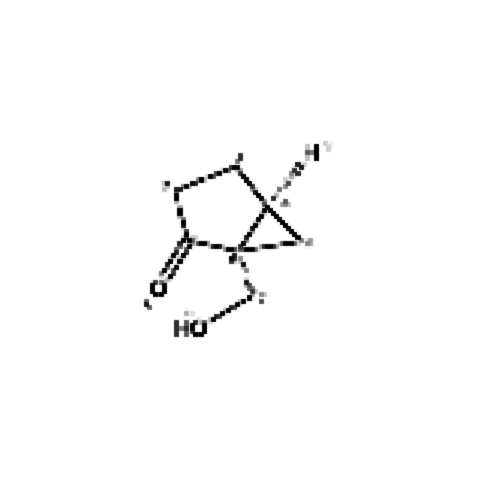 O=C1CC[C@H]2C[C@@]12CO